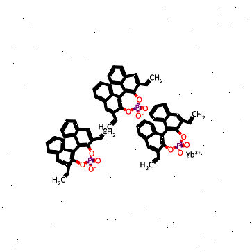 C=Cc1cc2ccccc2c2c1OP(=O)([O-])Oc1c(C=C)cc3ccccc3c1-2.C=Cc1cc2ccccc2c2c1OP(=O)([O-])Oc1c(C=C)cc3ccccc3c1-2.C=Cc1cc2ccccc2c2c1OP(=O)([O-])Oc1c(C=C)cc3ccccc3c1-2.[Yb+3]